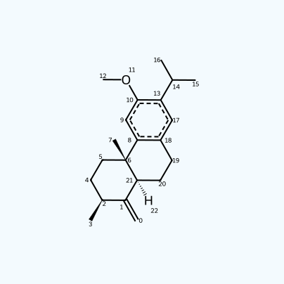 C=C1[C@@H](C)CC[C@]2(C)c3cc(OC)c(C(C)C)cc3CC[C@@H]12